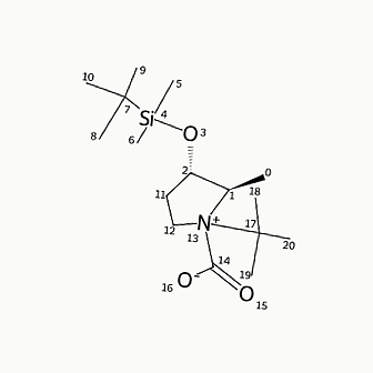 C[C@@H]1[C@@H](O[Si](C)(C)C(C)(C)C)CC[N+]1(C(=O)[O-])C(C)(C)C